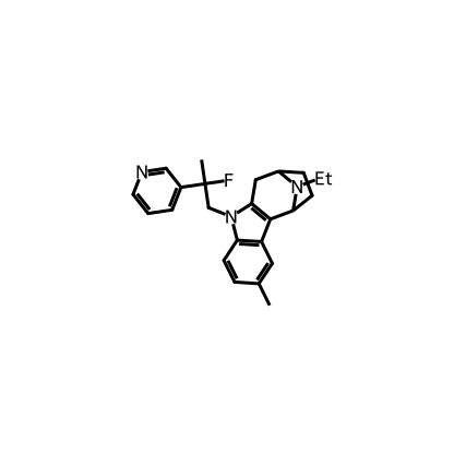 CCN1C2CCC1c1c(n(CC(C)(F)c3cccnc3)c3ccc(C)cc13)C2